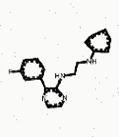 Fc1cccc(-c2nccnc2NCCNc2ccccc2)c1